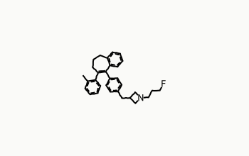 Cc1ccccc1C1=C(c2ccc(CC3CN(CCCF)C3)cc2)c2ccccc2CCC1